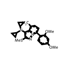 COc1ccc(-c2ccc(C)c3c(N(C4CC4)C4CC4)c(SC)nn23)c(OC)c1